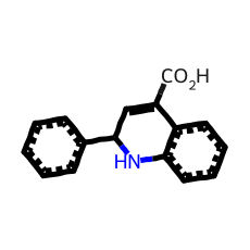 O=C(O)C1=CC(c2ccccc2)Nc2ccccc21